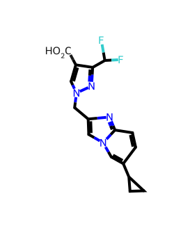 O=C(O)c1cn(Cc2cn3cc(C4CC4)ccc3n2)nc1C(F)F